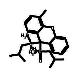 BS(B)(CC(C)C)C1([SH](B)(=O)CC(C)C)c2ccccc2Oc2c(C)cccc21